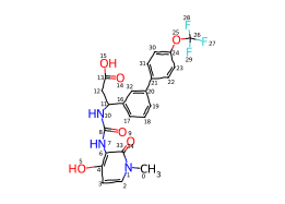 Cn1ccc(O)c(NC(=O)NC(CC(=O)O)c2cccc(-c3ccc(OC(F)(F)F)cc3)c2)c1=O